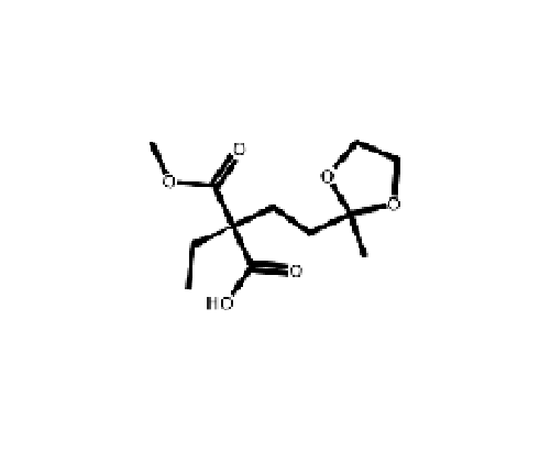 CC[C@@](CCC1(C)OCCO1)(C(=O)O)C(=O)OC